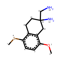 COc1ccc(SC)c2c1CC(N)(CN)CC2